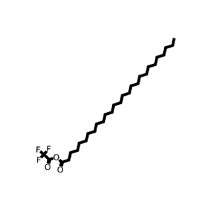 CCCCCCCCCCCCCCCCCCCCCCCCCCC(=O)OC(=O)C(F)(F)F